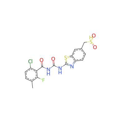 Cc1ccc(Cl)c(C(=O)NC(=O)Nc2nc3ccc(C[SH](=O)=O)cc3s2)c1F